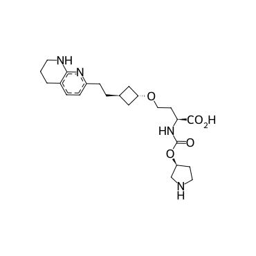 O=C(N[C@@H](CCO[C@H]1C[C@H](CCc2ccc3c(n2)NCCC3)C1)C(=O)O)O[C@H]1CCNC1